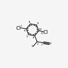 C#C[C](C)c1cc(Cl)ccc1Cl